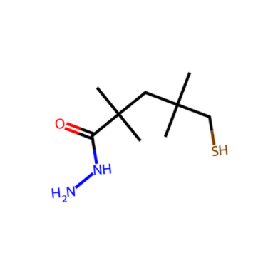 CC(C)(CS)CC(C)(C)C(=O)NN